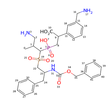 CC(CN)C(P(=O)(O)CC(C(=O)O)c1cccc(CN)c1)S(=O)(=O)CC(Cc1ccccc1)NC(=O)OCc1ccccc1